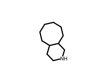 C1CCCC2CNCCC2CC1